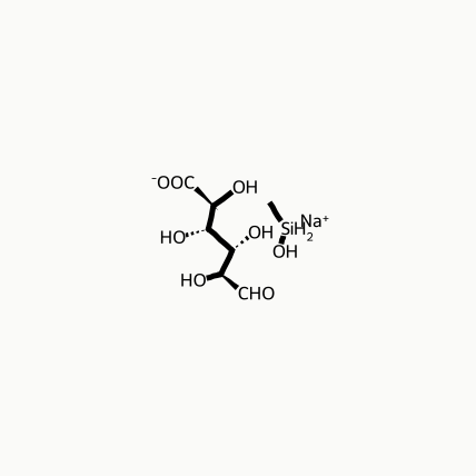 C[SiH2]O.O=C[C@@H](O)[C@@H](O)[C@H](O)[C@H](O)C(=O)[O-].[Na+]